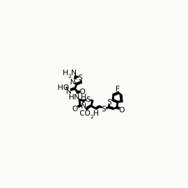 Nc1nc(C(=NO)C(=O)NC2C(=O)N3C(C(=O)O)=C(C=CSc4cc(=O)c5ccc(F)cc5s4)CS[C@@H]23)cs1